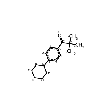 CC(C)(C)C(=O)c1ccc(C2CCCCC2)cc1